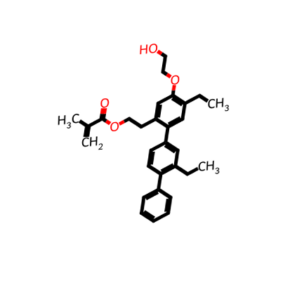 C=C(C)C(=O)OCCc1cc(OCCO)c(CC)cc1-c1ccc(-c2ccccc2)c(CC)c1